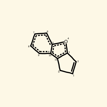 [CH]1C=Cc2oc3ccccc3c21